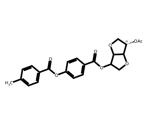 CC(=O)O[C@H]1COC2C(OC(=O)c3ccc(OC(=O)c4ccc(C)cc4)cc3)COC21